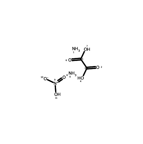 N.N.O=C(O)C(=O)O.O=[N+]([O-])O